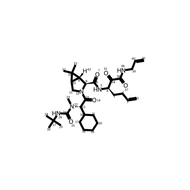 C=CCC[C@@H](NC(=O)[C@@H]1[C@@H]2C(CN1C(=O)[C@H](C1CCCCC1)N(C)C(=O)NC(C)(C)C)C2(C)C)C(=O)C(=O)NCC=C